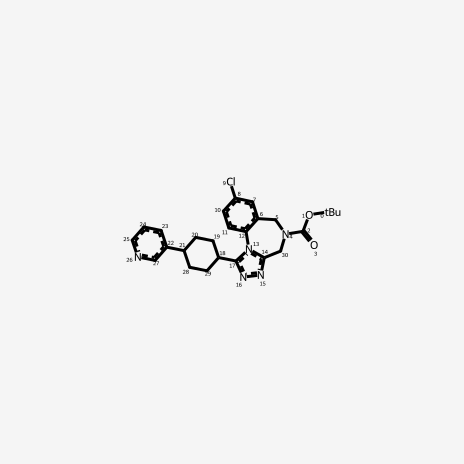 CC(C)(C)OC(=O)N1Cc2cc(Cl)ccc2-n2c(nnc2C2CCC(c3cccnc3)CC2)C1